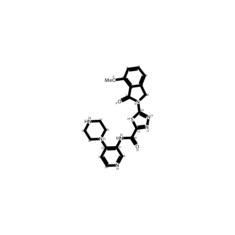 COc1cccc2c1C(=O)N(c1nnc(C(=O)Nc3cnccc3N3CCNCC3)s1)C2